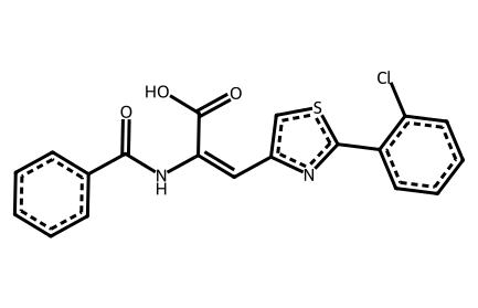 O=C(O)/C(=C\c1csc(-c2ccccc2Cl)n1)NC(=O)c1ccccc1